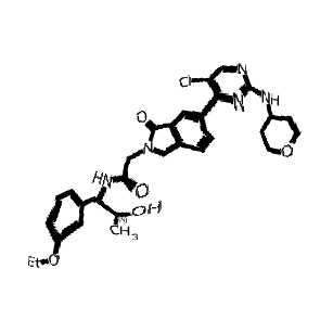 CCOc1cccc(C(NC(=O)CN2Cc3ccc(-c4nc(NC5CCOCC5)ncc4Cl)cc3C2=O)[C@H](C)O)c1